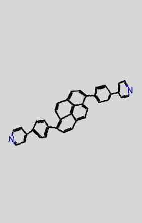 c1cc(-c2ccc(-c3ccc4ccc5c(-c6ccc(-c7ccncc7)cc6)ccc6ccc3c4c65)cc2)ccn1